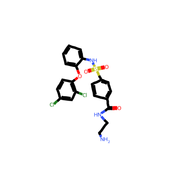 NCCNC(=O)c1ccc(S(=O)(=O)Nc2ccccc2Oc2ccc(Cl)cc2Cl)cc1